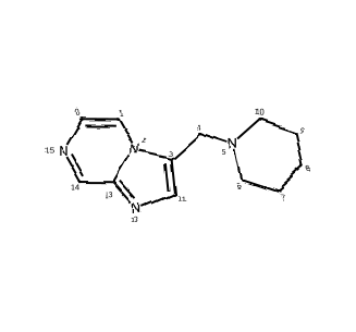 c1cn2c(CN3CCCCC3)cnc2cn1